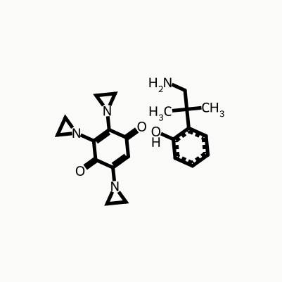 CC(C)(CN)c1ccccc1O.O=C1C=C(N2CC2)C(=O)C(N2CC2)=C1N1CC1